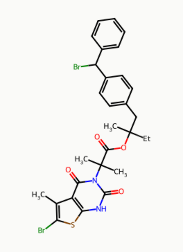 CCC(C)(Cc1ccc(C(Br)c2ccccc2)cc1)OC(=O)C(C)(C)n1c(=O)[nH]c2sc(Br)c(C)c2c1=O